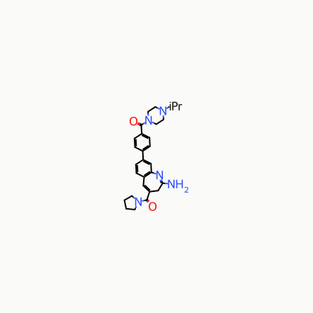 CC(C)N1CCN(C(=O)c2ccc(-c3ccc4c(c3)N=C(N)CC(C(=O)N3CCCC3)=C4)cc2)CC1